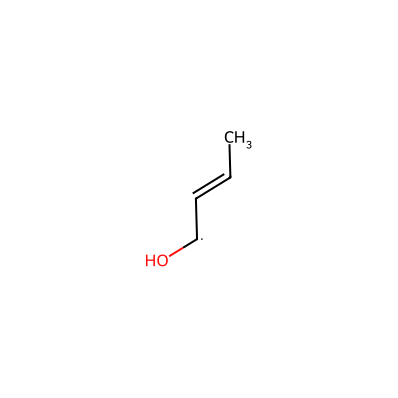 C/C=C/[CH]O